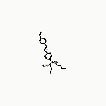 C=Cc1ccc(/C=C/c2ccc(N(NCCCC)C(N)CCC)cc2)cc1